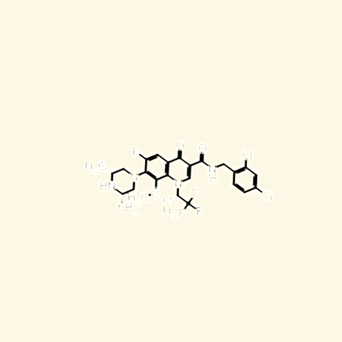 COc1c(N2C[C@@H](C)N[C@@H](C)C2)c(F)cc2c(=O)c(C(=O)NCc3ccc(Cl)cc3Cl)cn([C@@H](C)C(F)(F)F)c12